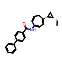 CC[C@H]1C[C@H]1C1=CC=C(NC(=O)c2ccc(-c3ccccc3)cc2)C=CC1